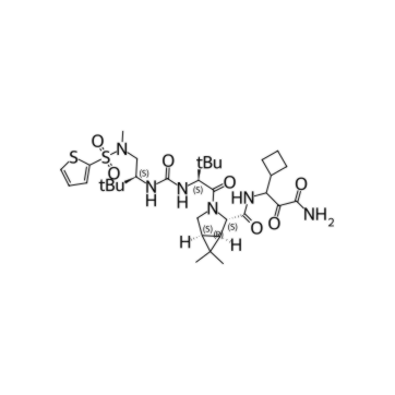 CN(C[C@@H](NC(=O)N[C@H](C(=O)N1C[C@H]2[C@@H]([C@H]1C(=O)NC(C(=O)C(N)=O)C1CCC1)C2(C)C)C(C)(C)C)C(C)(C)C)S(=O)(=O)c1cccs1